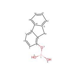 OB(O)Oc1cccc2c1Cc1ccccc1-2